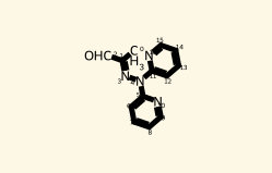 CC(C=O)=NN(c1ccccn1)c1ccccn1